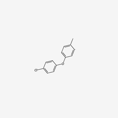 Cc1[c]cc(Oc2ccc(Cl)cc2)cc1